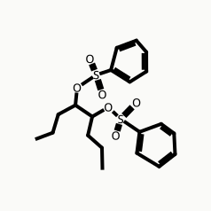 CCCC(OS(=O)(=O)c1ccccc1)C(CCC)OS(=O)(=O)c1ccccc1